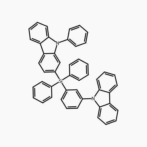 c1ccc(-n2c3ccccc3c3ccc([Si](c4ccccc4)(c4ccccc4)c4cccc(-n5c6ccccc6c6ccccc65)c4)cc32)cc1